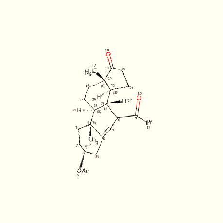 CC(=O)O[C@H]1CC[C@@]2(C)C(=CC(C(=O)C(C)C)[C@@H]3[C@@H]2CC[C@]2(C)C(=O)CC[C@@H]32)C1